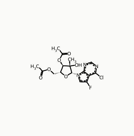 CC(=O)OC[C@H]1O[C@@H](n2cc(F)c3c(Cl)ncnc32)[C@@](C)(O)[C@@H]1OC(C)=O